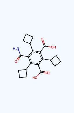 NC(=O)c1c(C2CCC2)c(C(=O)O)c(C2CCC2)c(C(=O)O)c1C1CCC1